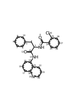 O=C(NC(Cc1ccccc1)C(=O)Nc1cccc2ncccc12)c1ccccc1Cl